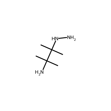 CC(C)(N)C(C)(C)NN